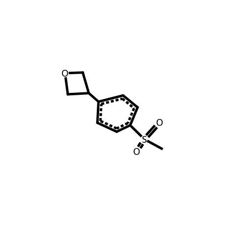 CS(=O)(=O)c1ccc(C2COC2)cc1